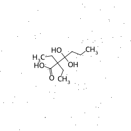 CCCC(O)(O)C(CC)(CC)C(=O)O